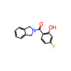 O=C(c1ccc(F)cc1O)N1Cc2ccccc2C1